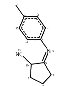 Cc1ccc(N=C2CCCC2C#N)cc1